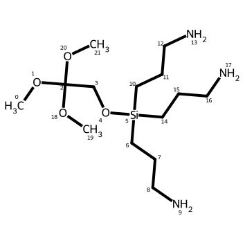 COC(CO[Si](CCCN)(CCCN)CCCN)(OC)OC